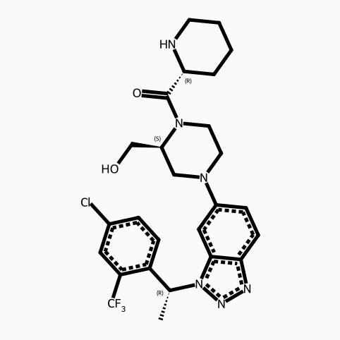 C[C@H](c1ccc(Cl)cc1C(F)(F)F)n1nnc2ccc(N3CCN(C(=O)[C@H]4CCCCN4)[C@H](CO)C3)cc21